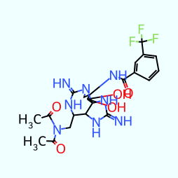 CC(=O)N(CC1NC(=N)N2CC(NC(=O)c3cccc(C(F)(F)F)c3)C(O)(O)C23NC(=N)NC13)C(C)=O